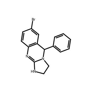 Brc1ccc2c(c1)C(c1ccccc1)N1CCNC1=N2